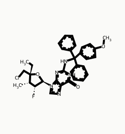 CC[C@@]1(CCl)O[C@@H](n2cnc3c(=O)[nH]c(NC(c4ccccc4)(c4ccccc4)c4ccc(OC)cc4)nc32)[C@H](F)[C@@H]1C